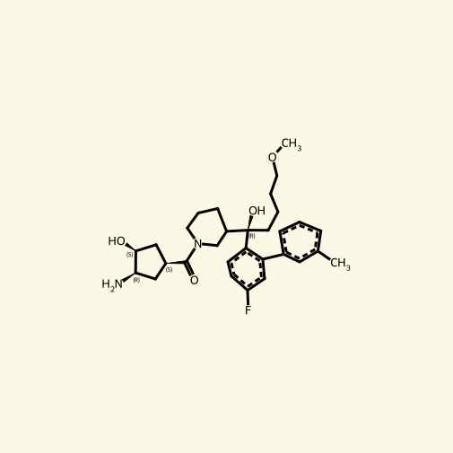 COCCCC[C@](O)(c1ccc(F)cc1-c1cccc(C)c1)C1CCCN(C(=O)[C@H]2C[C@@H](N)[C@@H](O)C2)C1